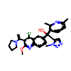 C=C(c1c(OC)nc2ccc(C(O)(c3ccc(C)nc3C)c3cnnn3C)cc2c1Cl)N1CCCC1